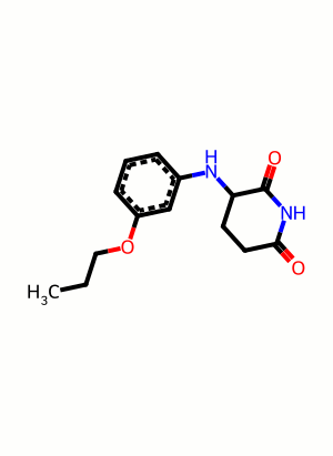 CCCOc1cccc(NC2CCC(=O)NC2=O)c1